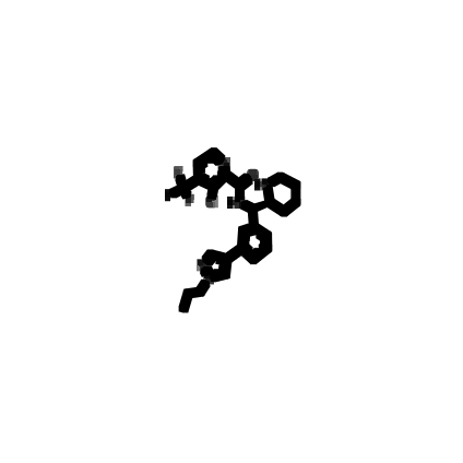 CCCn1cc(-c2cccc(C(NC(=O)c3nccc(C(F)(F)F)c3Cl)[C@@H]3CCCCN3)c2)cn1